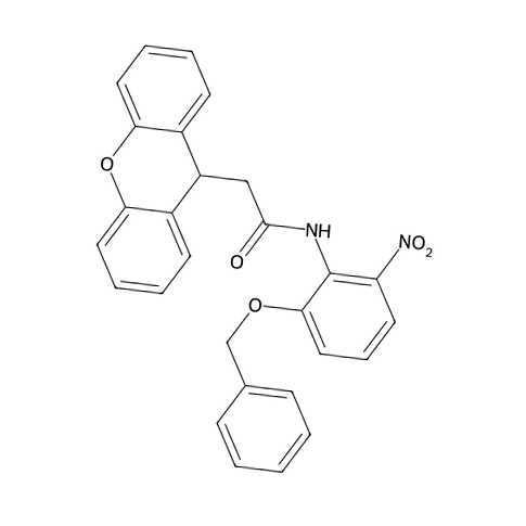 O=C(CC1c2ccccc2Oc2ccccc21)Nc1c(OCc2ccccc2)cccc1[N+](=O)[O-]